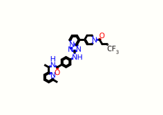 Cc1cccc(C(C)NC(=O)c2ccc(Nc3nc4c(C5=CCN(C(=O)CCC(F)(F)F)CC5)cccn4n3)cc2)n1